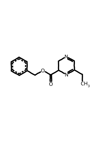 CCC1=NC(C(=O)OCc2ccccc2)CN=C1